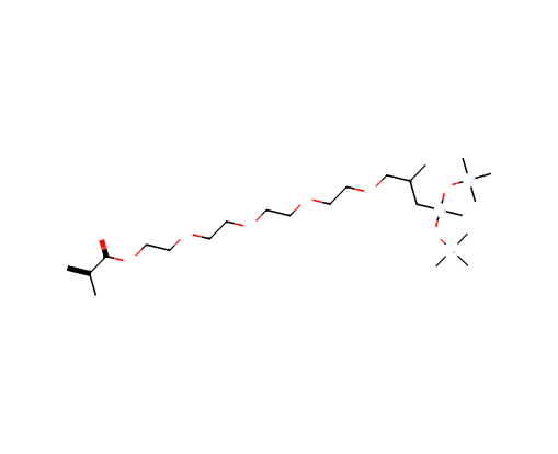 C=C(C)C(=O)OCCOCCOCCOCCOCC(C)C[Si](C)(O[Si](C)(C)C)O[Si](C)(C)C